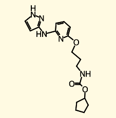 O=C(NCCCOc1cccc(Nc2cc[nH]n2)n1)OC1CCCC1